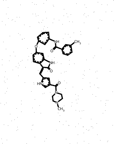 Cc1cccc(C(=O)Nc2cccc(Oc3ccc4c(c3)NC(=O)/C4=C\c3cc(C(=O)N4CCN(C)CC4)c[nH]3)c2)c1